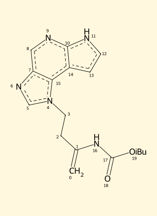 C=C(CCn1cnc2cnc3[nH]ccc3c21)NC(=O)OCC(C)C